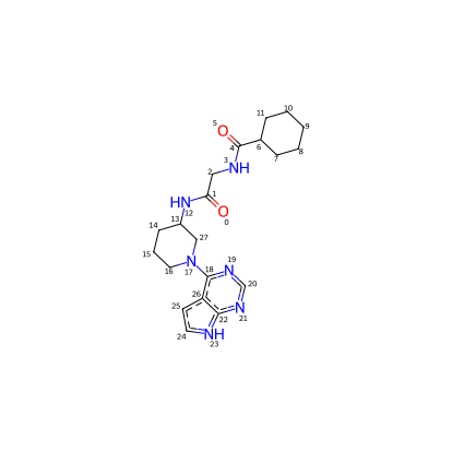 O=C(CNC(=O)C1CCCCC1)NC1CCCN(c2ncnc3[nH]ccc23)C1